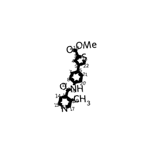 COC(=O)c1cc(-c2ccc(NC(=O)c3ccncc3C)cc2)cs1